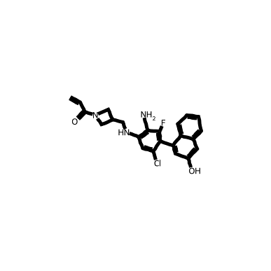 C=CC(=O)N1CC(CNc2cc(Cl)c(-c3cc(O)cc4ccccc34)c(F)c2N)C1